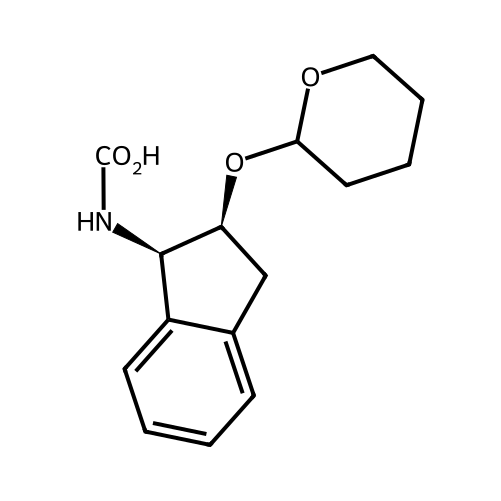 O=C(O)N[C@@H]1c2ccccc2C[C@@H]1OC1CCCCO1